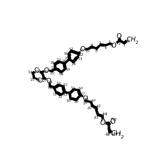 C=CC(=O)OCCCCCCOc1ccc(-c2ccc(COC3OCCOC3OCc3ccc(-c4ccc(OCCCCCCOC(=O)C=C)cc4)cc3)cc2)cc1